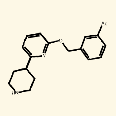 CC(=O)c1cccc(COc2cccc(C3CCNCC3)n2)c1